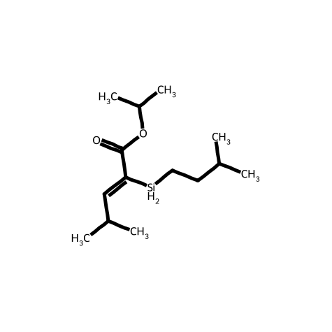 CC(C)C=C([SiH2]CCC(C)C)C(=O)OC(C)C